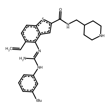 C=Cc1ccc2sc(C(=O)NCC3CCNCC3)cc2c1/N=C(\N)Nc1cccc(C(C)(C)C)c1